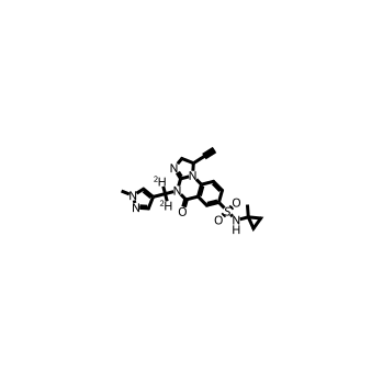 [2H]C([2H])(c1cnn(C)c1)N1C(=O)c2cc(S(=O)(=O)NC3(C)CC3)ccc2N2C1=NCC2C#C